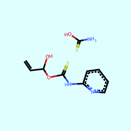 C=CC(O)OC(=S)Nc1ccccn1.NC(O)=S